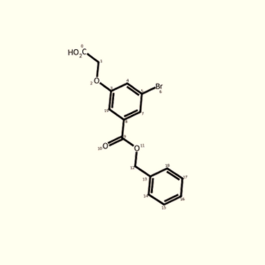 O=C(O)COc1cc(Br)cc(C(=O)OCc2ccccc2)c1